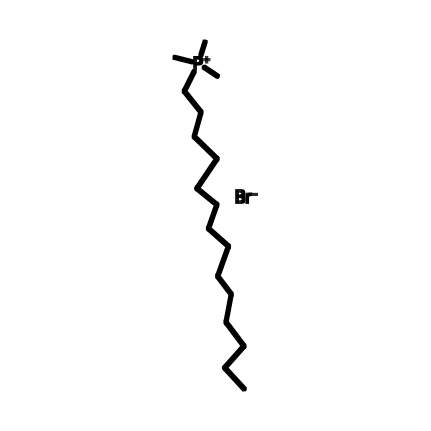 CCCCCCCCCCCCCC[P+](C)(C)C.[Br-]